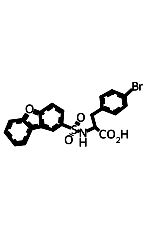 O=C(O)C(Cc1ccc(Br)cc1)NS(=O)(=O)c1ccc2oc3ccccc3c2c1